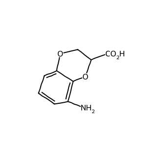 Nc1cccc2c1OC(C(=O)O)CO2